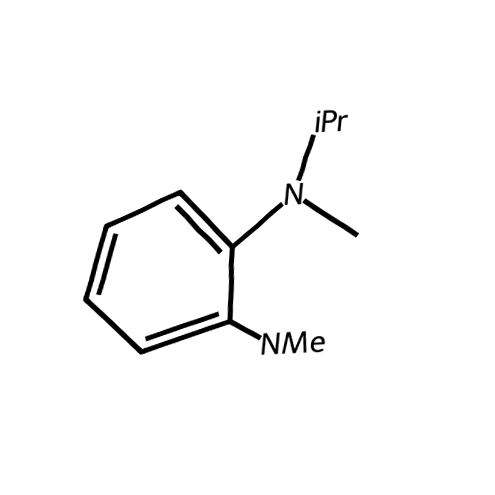 CNc1ccccc1N(C)C(C)C